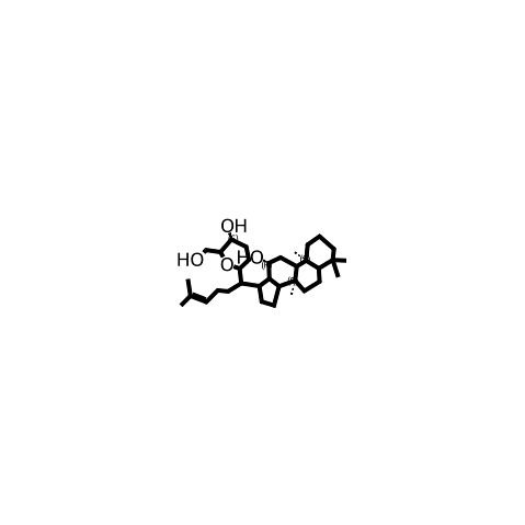 CC(C)=CCCC(C1CC[C@H](O)C(CO)O1)C1CCC2C1[C@H](O)CC1[C@@]2(C)CCC2C(C)(C)CCC[C@@]21C